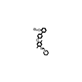 Cc1cc(Oc2ccc(-c3ccccc3OCC(C)C)cc2)c(C)cc1N=CN1CCCCC1